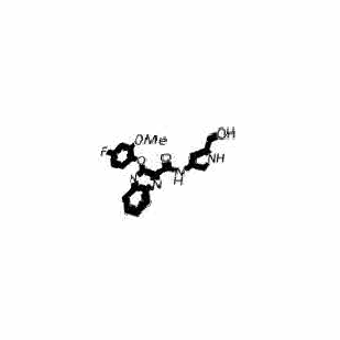 COc1cc(F)ccc1Oc1nc2ccccc2nc1C(=O)NC1C=C(CO)NC1